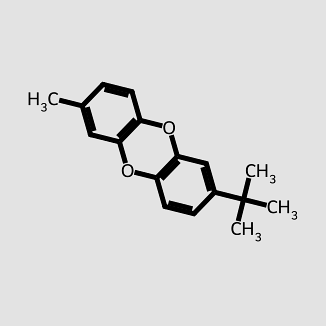 Cc1ccc2c(c1)Oc1ccc(C(C)(C)C)cc1O2